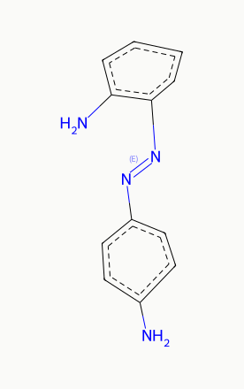 Nc1ccc(/N=N/c2ccccc2N)cc1